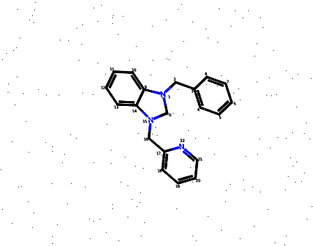 [CH]1N(Cc2ccccc2)c2ccccc2N1Cc1ccccn1